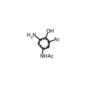 CC(=O)Nc1cc(N)c(O)c(C(C)=O)c1